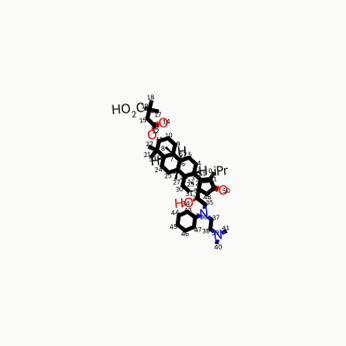 CC(C)C1=C2[C@H]3CC[C@@H]4[C@@]5(C)CC[C@H](OC(=O)CC(C)(C)C(=O)O)C(C)(C)[C@@H]5CC[C@@]4(C)[C@]3(C)CC[C@@]2([C@H](O)CN(CCN(C)C)C2CCCCC2)CC1=O